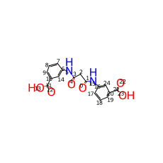 O=C(CC(=O)Nc1cccc(C(=O)O)c1)Nc1cccc(C(=O)O)c1